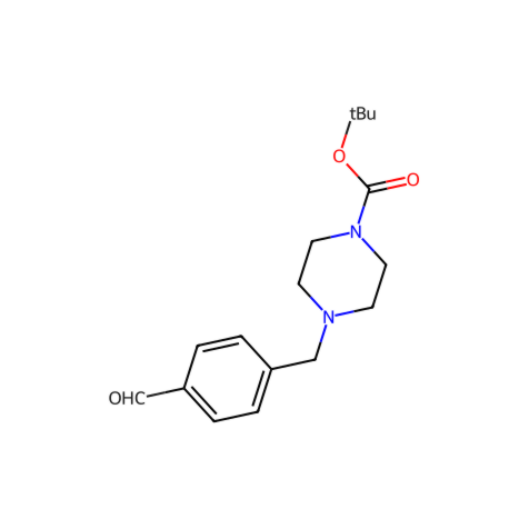 CC(C)(C)OC(=O)N1CCN(Cc2ccc(C=O)cc2)CC1